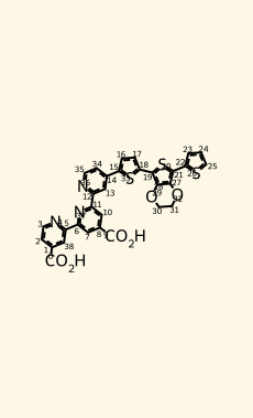 O=C(O)c1ccnc(-c2cc(C(=O)O)cc(-c3cc(-c4ccc(-c5sc(-c6cccs6)c6c5OCCO6)s4)ccn3)n2)c1